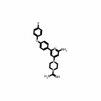 N=C(N)N1CCN(c2cc(N)nc(-c3ccc(Oc4ccc(F)cc4)cc3)c2)CC1